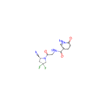 N#C[C@@H]1CC(F)(F)CN1C(=O)CNC(=O)c1ccc(=O)[nH]c1